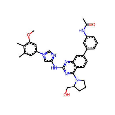 COc1cc(-n2cnc(Nc3nc(N4CCC[C@H]4CO)c4ccc(-c5cccc(NC(C)=O)c5)cc4n3)c2)cc(C)c1C